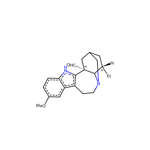 CC[C@H]1CC2CN3CCc4c([nH]c5ccc(OC)cc45)[C@@](C=O)(C2)C13